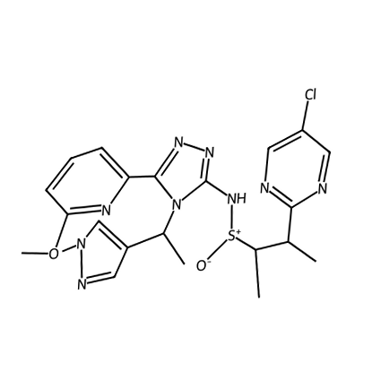 COc1cccc(-c2nnc(N[S+]([O-])C(C)C(C)c3ncc(Cl)cn3)n2C(C)c2cnn(C)c2)n1